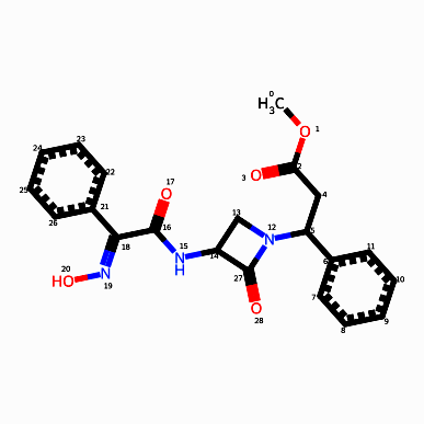 COC(=O)CC(c1ccccc1)N1CC(NC(=O)C(=NO)c2ccccc2)C1=O